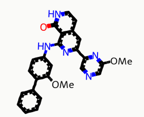 COc1cncc(-c2cc3cc[nH]c(=O)c3c(Nc3ccc(-c4ccccc4)c(OC)c3)n2)n1